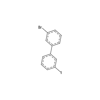 Brc1cccc(-c2cccc(I)c2)c1